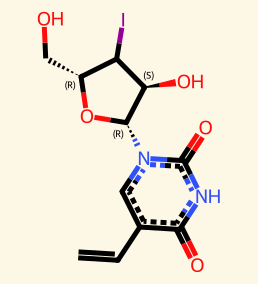 C=Cc1cn([C@@H]2O[C@H](CO)C(I)[C@H]2O)c(=O)[nH]c1=O